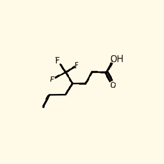 CCCC(CCC(=O)O)C(F)(F)F